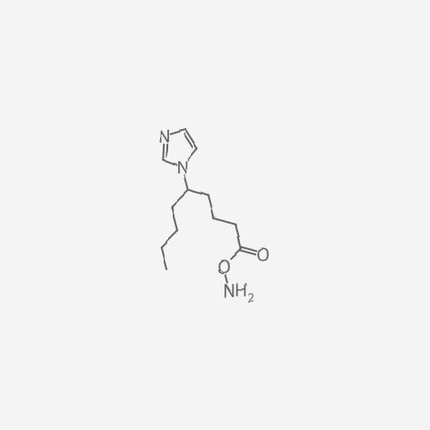 CCCCC(CCCC(=O)ON)n1ccnc1